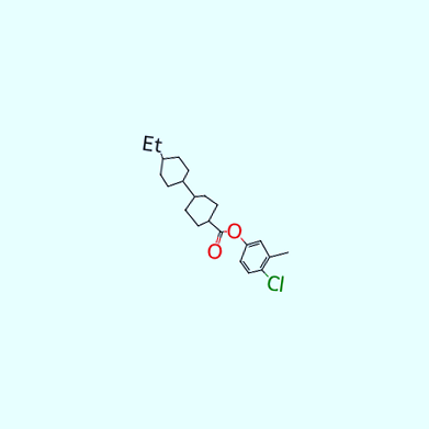 CCC1CCC(C2CCC(C(=O)Oc3ccc(Cl)c(C)c3)CC2)CC1